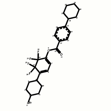 CCCC1CCC(C2=CC=C(OC(=O)c3ccc(C4CCCCC4)cc3)C(F)(F)C2(F)F)CC1